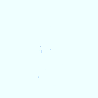 Cc1cc(C(=O)N2CCn3c(C#Cc4cccc(Cl)c4)nnc3C2)oc1C